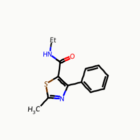 CCNC(=O)c1sc(C)nc1-c1ccccc1